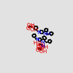 O=C(O)C(=O)O.O=C(O)C(=O)O.O=C(O)C(=O)O.c1ccc(CCNC2(c3ccccc3)CCN(Cc3ccccc3)CC2)cc1.c1ccc(CCNC2(c3ccccc3)CCN(Cc3ccccc3)CC2)cc1